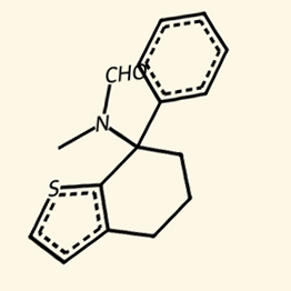 CN(C=O)C1(c2ccccc2)CCCc2ccsc21